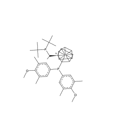 COc1c(C)cc(P(c2cc(C)c(OC)c(C)c2)[C]23[CH]4[CH]5[CH]6[C@]2(C(C)P(C(C)(C)C)C(C)(C)C)[Fe]54632789[CH]3[CH]2[CH]7[CH]8[CH]39)cc1C